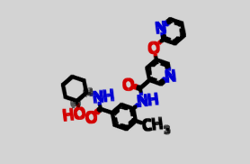 Cc1ccc(C(=O)N[C@H]2CCCC[C@@H]2O)cc1NC(=O)c1cncc(Oc2ccccn2)c1